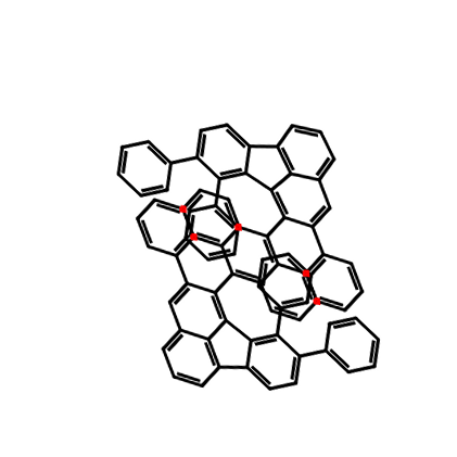 c1ccc(-c2ccc3c(c2-c2ccccc2)-c2c(-c4c5ccccc5c(-c5c(-c6ccccc6)cc6cccc7c6c5-c5c-7ccc(-c6ccccc6)c5-c5ccccc5)c5ccccc45)c(-c4ccccc4)cc4cccc-3c24)cc1